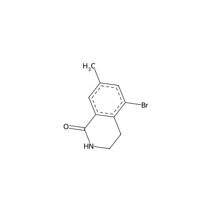 Cc1cc(Br)c2c(c1)C(=O)NCC2